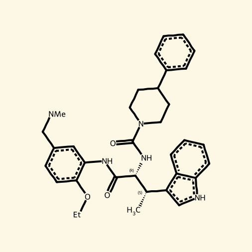 CCOc1ccc(CNC)cc1NC(=O)[C@H](NC(=O)N1CCC(c2ccccc2)CC1)[C@@H](C)c1c[nH]c2ccccc12